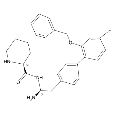 N[C@H](Cc1ccc(-c2ccc(F)cc2OCc2ccccc2)cc1)NC(=O)[C@@H]1CCCCN1